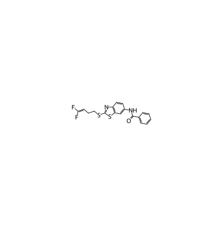 O=C(Nc1ccc2nc(SCCC=C(F)F)sc2c1)c1ccccc1